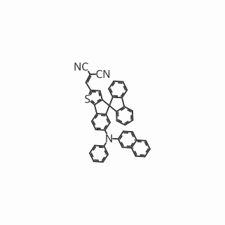 N#CC(C#N)=Cc1cc2c(s1)-c1ccc(N(c3ccccc3)c3ccc4ccccc4c3)cc1C21c2ccccc2-c2ccccc21